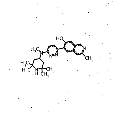 Cc1cc2cc(-c3ccc(N(C)C4CC(C)(C)NC(C)(C)C4)nn3)c(O)cc2cn1